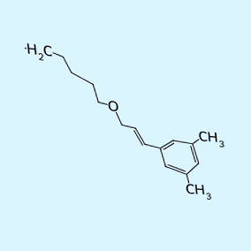 [CH2]CCCCOC/C=C/c1cc(C)cc(C)c1